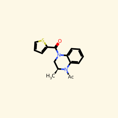 CC(=O)N1c2ccccc2N(C(=O)c2cccs2)C[C@@H]1C